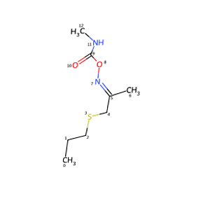 CCCSCC(C)=NOC(=O)NC